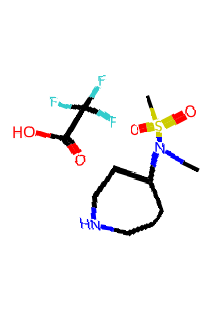 CN(C1CCNCC1)S(C)(=O)=O.O=C(O)C(F)(F)F